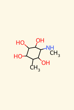 CNC1C(O)C(C)C(O)C(O)C1O